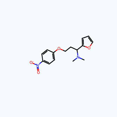 CN(C)C(CCOc1ccc([N+](=O)[O-])cc1)c1ccco1